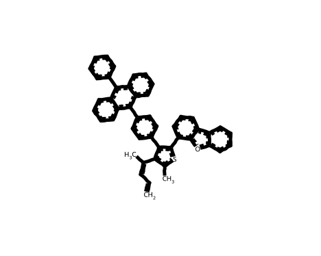 C=C/C=C(/C)c1c(C)sc(-c2cccc3c2oc2ccccc23)c1-c1ccc(-c2c3ccccc3c(-c3ccccc3)c3ccccc23)cc1